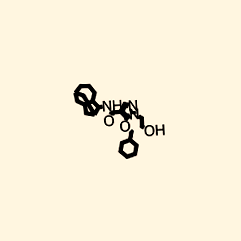 O=C(NC1C2CC3CCCC1C(C3)C2)c1cnn(CCO)c1OCC1CCCCC1